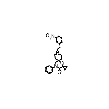 O=C1N(c2ccccc2)CC2(CCN(CCc3cccc([N+](=O)[O-])c3)CC2)OC12CC2